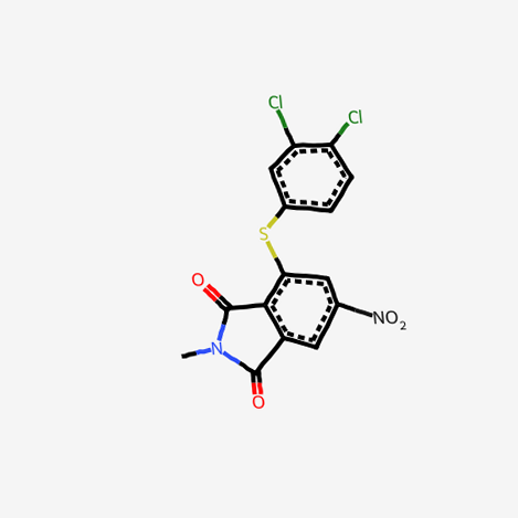 CN1C(=O)c2cc([N+](=O)[O-])cc(Sc3ccc(Cl)c(Cl)c3)c2C1=O